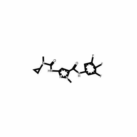 CN(C(=O)Nc1cc(C(=O)Nc2cc(F)c(F)c(F)c2)n(C)n1)C1CC1